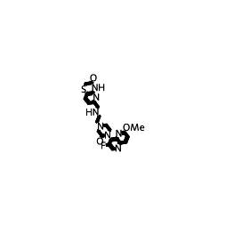 COc1ccc2ncc(F)c(N3CCN(CCNCc4ccc5c(n4)NC(=O)CS5)CC3=O)c2n1